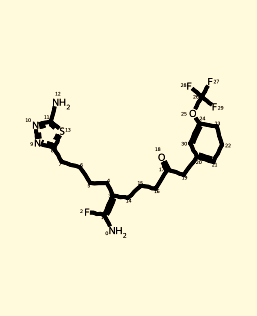 N/C(F)=C(/CCCCc1nnc(N)s1)CCCC(=O)CC1=CCCC(OC(F)(F)F)=C1